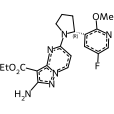 CCOC(=O)c1c(N)nn2ccc(N3CCC[C@@H]3c3cc(F)cnc3OC)nc12